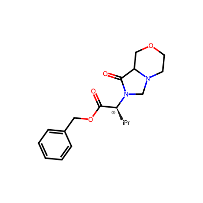 CC(C)[C@@H](C(=O)OCc1ccccc1)N1CN2CCOCC2C1=O